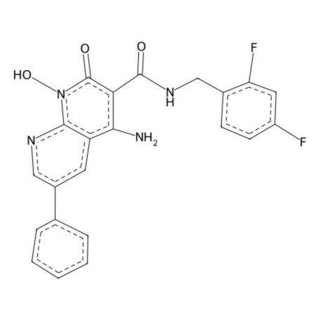 Nc1c(C(=O)NCc2ccc(F)cc2F)c(=O)n(O)c2ncc(-c3ccccc3)cc12